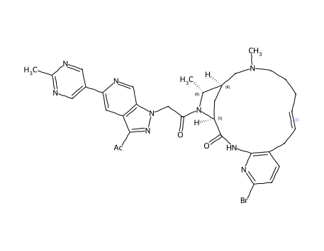 CC(=O)c1nn(CC(=O)N2[C@H](C)[C@@H]3C[C@H]2C(=O)Nc2nc(Br)ccc2C/C=C/CCCN(C)C3)c2cnc(-c3cnc(C)nc3)cc12